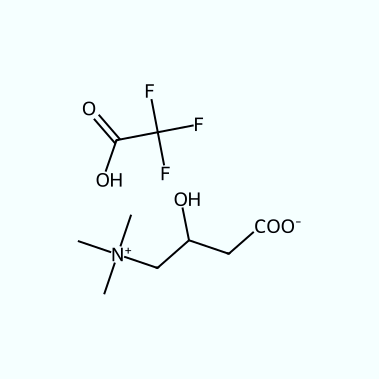 C[N+](C)(C)CC(O)CC(=O)[O-].O=C(O)C(F)(F)F